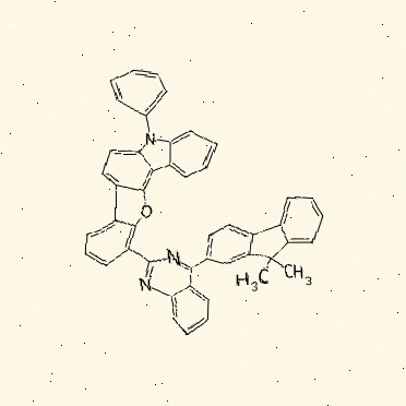 CC1(C)c2ccccc2-c2ccc(-c3nc(-c4cccc5c4oc4c5ccc5c4c4ccccc4n5-c4ccccc4)nc4ccccc34)cc21